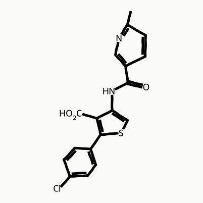 Cc1ccc(C(=O)Nc2csc(-c3ccc(Cl)cc3)c2C(=O)O)cn1